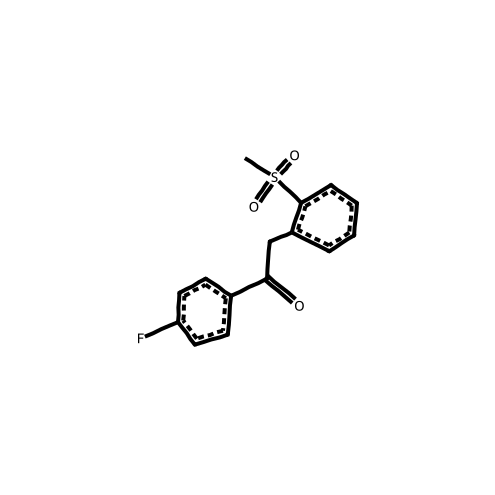 CS(=O)(=O)c1ccccc1CC(=O)c1ccc(F)cc1